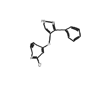 Clc1cc(Oc2c[nH]nc2-c2ccccc2)ccn1